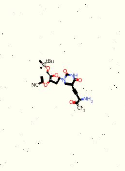 C=C(C#N)OC1C[C@H](n2cc(C#CC(N)C(=O)C(F)(F)F)c(=O)[nH]c2=O)O[C@@H]1CO[Si](C)(C)C(C)(C)C